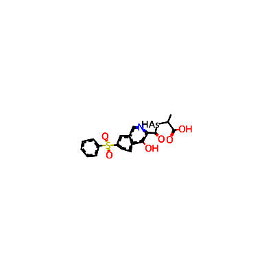 CC([AsH]C(=O)c1ncc2cc(S(=O)(=O)c3ccccc3)ccc2c1O)C(=O)O